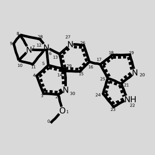 COc1ccc(CN2C3CC2CN(c2ccc(-c4ccnc5[nH]ccc45)cn2)C3)cn1